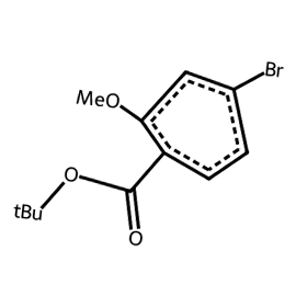 COc1cc(Br)ccc1C(=O)OC(C)(C)C